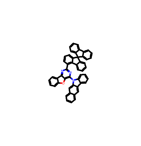 c1ccc2c(c1)-c1ccccc1C21c2ccccc2-c2c(-c3nc(-n4c5ccccc5c5cc6ccccc6cc54)c4oc5ccccc5c4n3)cccc21